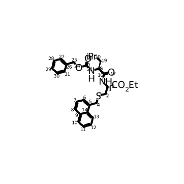 CCOC(=O)[C@H](CSCc1cccc2ccccc12)NC(=O)[C@H](CC(C)C)NC(=O)OCc1ccccc1